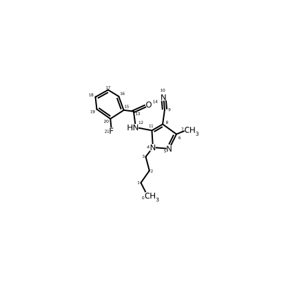 CCCCn1nc(C)c(C#N)c1NC(=O)c1ccccc1F